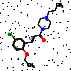 CCCN1CCN(C(=O)/C=C/c2cc(Br)ccc2OCC)CC1